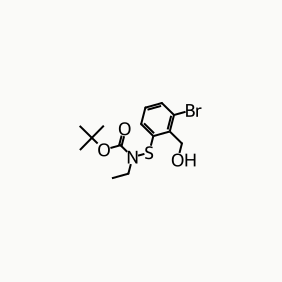 CCN(Sc1cccc(Br)c1CO)C(=O)OC(C)(C)C